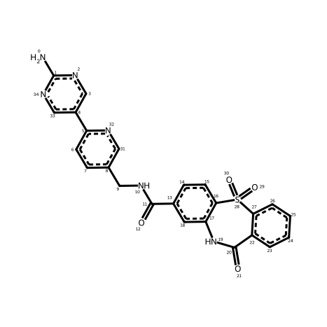 Nc1ncc(-c2ccc(CNC(=O)c3ccc4c(c3)NC(=O)c3ccccc3S4(=O)=O)cn2)cn1